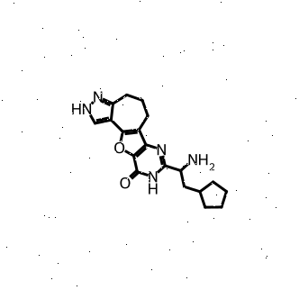 NC(CC1CCCC1)c1nc2c3c(oc2c(=O)[nH]1)-c1c[nH]nc1CCC3